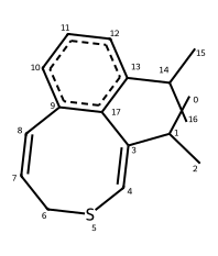 CC(C)/C1=C/SC/C=C\c2cccc(C(C)C)c21